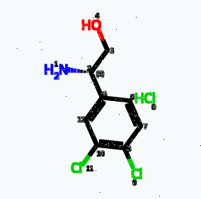 Cl.N[C@H](CO)c1ccc(Cl)c(Cl)c1